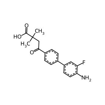 CC(C)(CC(=O)c1ccc(-c2ccc(N)c(F)c2)cc1)C(=O)O